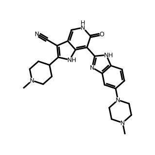 CN1CCC(c2[nH]c3c(-c4nc5cc(N6CCN(C)CC6)ccc5[nH]4)c(=O)[nH]cc3c2C#N)CC1